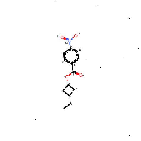 CC[C@H]1C[C@H](OC(=O)c2ccc([N+](=O)[O-])cc2)C1